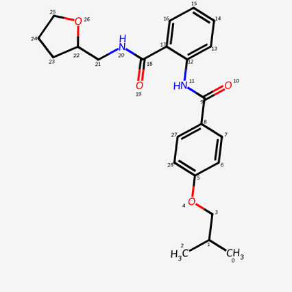 CC(C)COc1ccc(C(=O)Nc2ccccc2C(=O)NCC2CCCO2)cc1